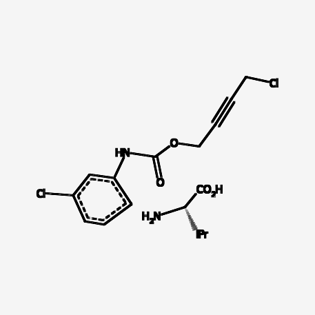 CC(C)[C@H](N)C(=O)O.O=C(Nc1cccc(Cl)c1)OCC#CCCl